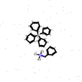 CC[N+](CC)(CC)Cc1ccccc1.c1ccc([B-](c2ccccc2)(c2ccccc2)c2ccccc2)cc1